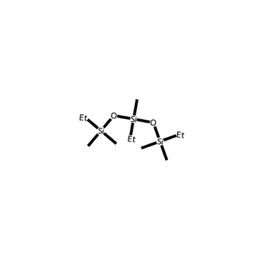 CC[Si](C)(C)O[Si](C)(CC)O[Si](C)(C)CC